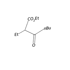 CCCCC(=O)C(CC)C(=O)OCC